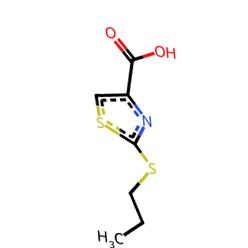 CCCSc1nc(C(=O)O)cs1